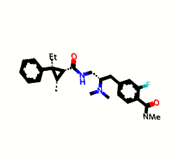 CC[C@]1(c2ccccc2)[C@H](C(=O)NC[C@H](Cc2ccc(C(=O)NC)c(F)c2)N(C)C)[C@@H]1C